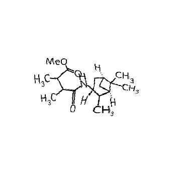 COC(=O)C(C)C(C)C(=O)N[C@@H]1C[C@@H]2C[C@H](C1C)C2(C)C